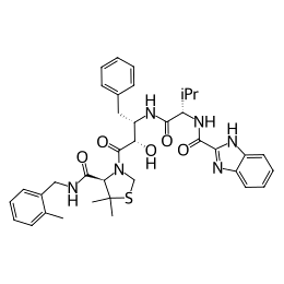 Cc1ccccc1CNC(=O)[C@H]1N(C(=O)[C@@H](O)[C@H](Cc2ccccc2)NC(=O)[C@@H](NC(=O)c2nc3ccccc3[nH]2)C(C)C)CSC1(C)C